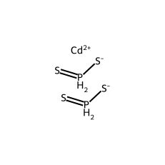 S=[PH2][S-].S=[PH2][S-].[Cd+2]